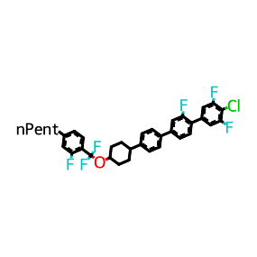 CCCCCc1ccc(C(F)(F)OC2CCC(c3ccc(-c4ccc(-c5cc(F)c(Cl)c(F)c5)c(F)c4)cc3)CC2)c(F)c1